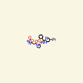 CC(C)c1ccc([C@@H](NC(=O)[C@@H]2CCCN2C(=O)Cc2nn(C)c(=O)o2)c2ccccc2)nc1